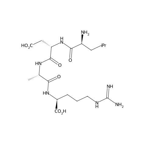 CC(C)C[C@H](N)C(=O)N[C@@H](CC(=O)O)C(=O)N[C@@H](C)C(=O)N[C@@H](CCCNC(=N)N)C(=O)O